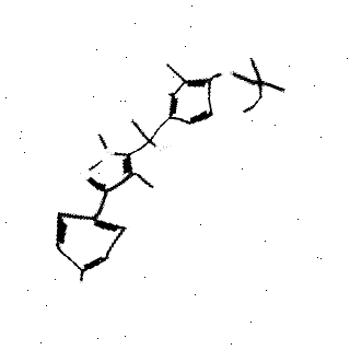 CCOC(=O)C(C)(C)Oc1ccc(C(C)(NC)c2c(C)c(-c3ccc(C(F)(F)F)cc3)nn2C)cc1C